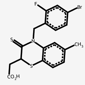 Cc1ccc2c(c1)N(Cc1ccc(Br)cc1F)C(=S)C(CC(=O)O)S2